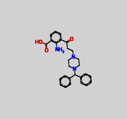 Nc1c(C(=O)O)cccc1C(=O)CCN1CCN(C(c2ccccc2)c2ccccc2)CC1